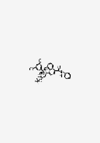 CC(C)(C)OC(=O)CN(c1ccc(C(=O)NCc2ccccc2)c2ccccc12)S(=O)(=O)c1cc(Cl)cc(Cl)c1